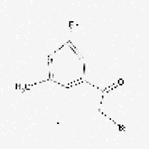 Cc1cc(F)cc(C(=O)CBr)c1